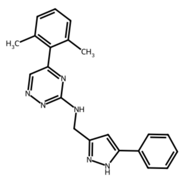 Cc1cccc(C)c1-c1cnnc(NCc2cc(-c3ccccc3)[nH]n2)n1